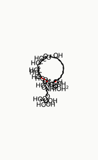 CC1OC(=O)C[C@H](O)C[C@H](O)CC[C@@H](O)[C@H](O)C[C@H](O)C[C@]2(O)C[C@H](O)[C@@H](NC(=O)NCCCO[C@H]3O[C@H](CO)[C@@H](O)[C@H](O)[C@@H]3O)[C@H](C[C@@H](O[C@@H]3O[C@H](C)[C@@H](O)[C@H](N)[C@@H]3O)/C=C/C=C/C=C/C=C/C=C/C=C/C=C/[C@H](C)[C@@H](O)[C@H]1C)O2